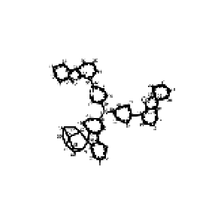 c1ccc2c(c1)-c1cc(N(c3ccc(-c4cccc5c4oc4ccccc45)cc3)c3ccc(-c4cccc5c4oc4ccccc45)cc3)ccc1C21C2CC3CC(C2)CC1C3